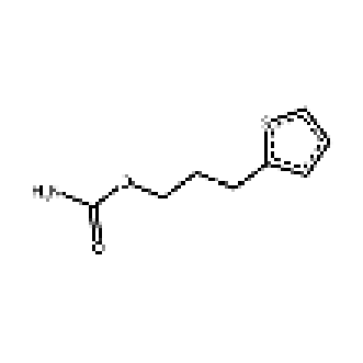 NC(=O)OCCCc1cccs1